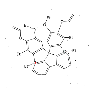 C=COc1c(OCC)cc(C2(c3cc(OCC)c(OC=C)c(CC)c3OCC)c3ccccc3-c3ccccc32)c(OCC)c1CC